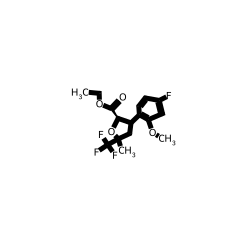 CCOC(=O)[C@@H]1OC(C)(C(F)(F)F)CC1c1ccc(F)cc1OC